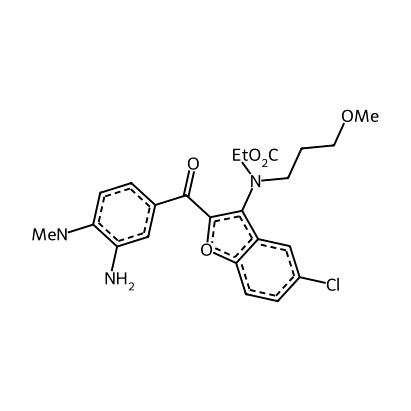 CCOC(=O)N(CCCOC)c1c(C(=O)c2ccc(NC)c(N)c2)oc2ccc(Cl)cc12